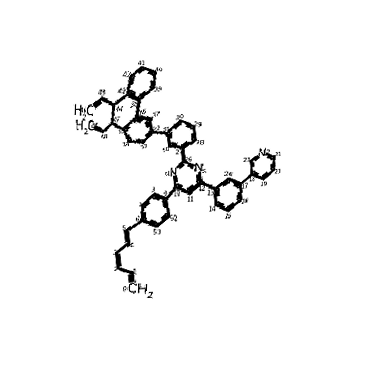 C=C/C=C\C=C\c1ccc(-c2cc(-c3cccc(-c4cccnc4)c3)nc(-c3cccc(-c4ccc5c(c4)-c4ccccc4C(C=C)C5C=C)c3)n2)cc1